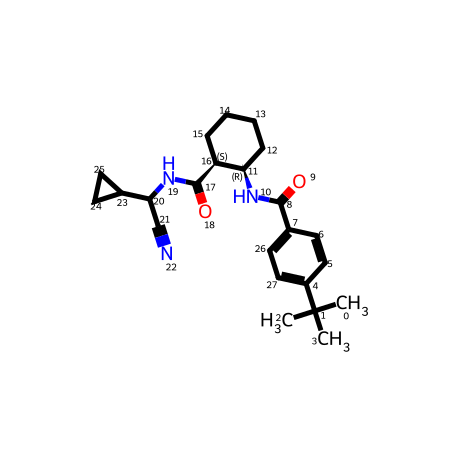 CC(C)(C)c1ccc(C(=O)N[C@@H]2CCCC[C@@H]2C(=O)NC(C#N)C2CC2)cc1